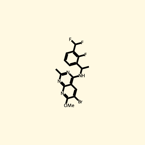 COc1nc2nc(C)nc(NC(C)c3cccc(C(F)F)c3F)c2cc1Br